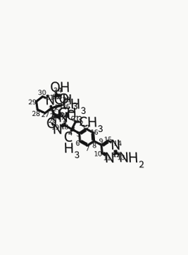 CC(C)C(C)(c1ccc(-c2cnc(N)nc2)cc1)c1noc(C2(C(C)(C)C)CCCCN2C(=O)O)n1